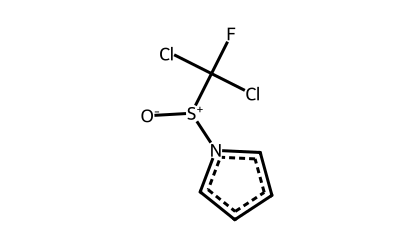 [O-][S+](n1cccc1)C(F)(Cl)Cl